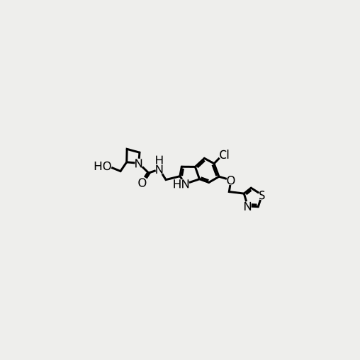 O=C(NCc1cc2cc(Cl)c(OCc3cscn3)cc2[nH]1)N1CCC1CO